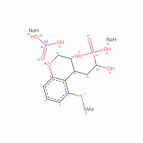 CSSc1cccc2c1C(CC(O)P(=O)(O)O)CCO2.O=[PH](O)O.[NaH].[NaH]